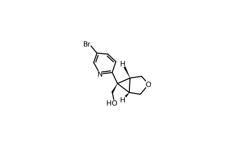 OC[C@@]1(c2ccc(Br)cn2)[C@@H]2COC[C@@H]21